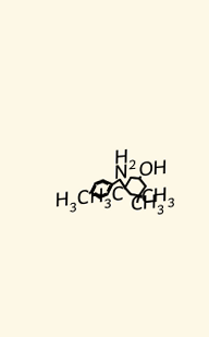 Cc1ccc(C(N)C2(C)CC(O)CC(C)(C)C2)cc1